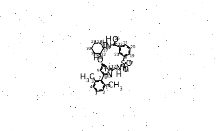 Cc1cccc(C)c1-c1cc2nc(n1)NS(=O)(=O)c1cccc(c1)C(=O)N[C@H]1CCCC[C@H]1O2